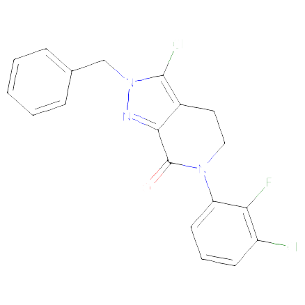 O=C1c2nn(Cc3ccccc3)c(Cl)c2CCN1c1cccc(Cl)c1F